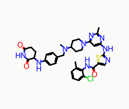 Cc1nc(Nc2ncc(C(=O)Nc3c(C)cccc3Cl)s2)cc(N2CCC(N(C)Cc3ccc(NC4CCC(=O)NC4=O)cc3)CC2)n1